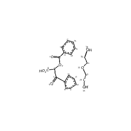 O=C(OC(C(=O)O)C(=O)c1ccccc1)c1ccccc1.OCCOCCO